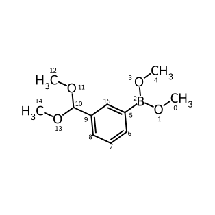 COB(OC)c1cccc(C(OC)OC)c1